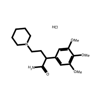 COc1cc(C(CCN2CCCCC2)C(N)=O)cc(OC)c1OC.Cl